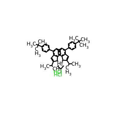 CC(C)C1=Cc2c(-c3ccc(C(C)(C)C)cc3)cccc2[CH]1[Hf]1([CH]2C(C(C)C)=Cc3c(-c4ccc(C(C)(C)C)cc4)cccc32)[CH2]C[CH2]1.Cl.Cl